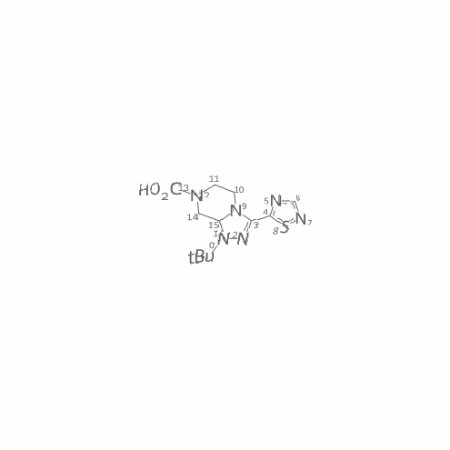 CC(C)(C)N1N=C(c2ncns2)N2CCN(C(=O)O)CC21